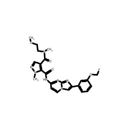 COCCN(C)C(=O)c1cnn(C)c1C(=O)Nc1ccn2cc(-c3cccc(OCF)c3)nc2n1